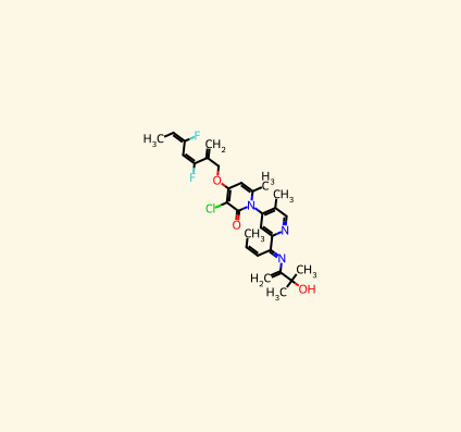 C=C(COc1cc(C)n(-c2cc(C(/C=C\C)=N/C(=C)C(C)(C)O)ncc2C)c(=O)c1Cl)/C(F)=C\C(F)=C/C